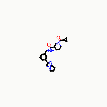 O=C(NCc1cccc(-c2cn3c(n2)CCC3)c1)C1CCCN(C(=O)C2CC2)C1